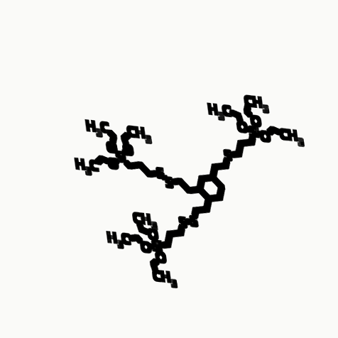 CCO[Si](CCCSCCC1CCC(CCSSCCC[Si](OCC)(OCC)OCC)C(CCSSCCC[Si](OCC)(OCC)OCC)C1)(OCC)OCC